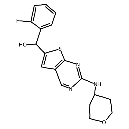 OC(c1cc2cnc(NC3CCOCC3)nc2s1)c1ccccc1F